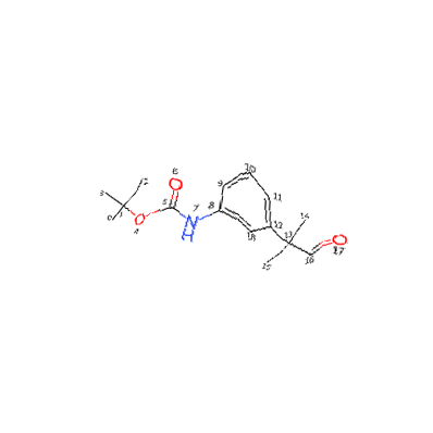 CC(C)(C)OC(=O)Nc1cccc(C(C)(C)C=O)c1